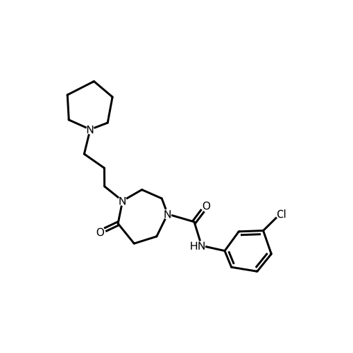 O=C1CCN(C(=O)Nc2cccc(Cl)c2)CCN1CCCN1CCCCC1